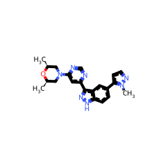 C[C@@H]1CN(c2cc(-c3n[nH]c4ccc(-c5ccnn5C)cc34)ncn2)C[C@H](C)O1